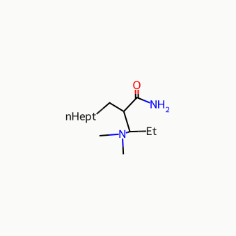 CCCCCCCCC(C(N)=O)C(CC)N(C)C